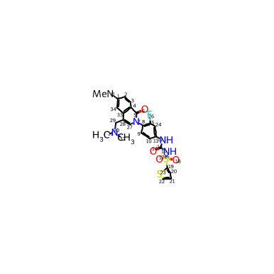 CNc1ccc2c(=O)n(-c3ccc(NC(=O)NS(=O)(=O)c4cccs4)cc3F)cc(CN(C)C)c2c1